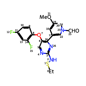 CCSNc1ncc(Oc2ccc(F)cc2F)c(C(/C=C(\C)OC)=C/N(C)C=O)n1